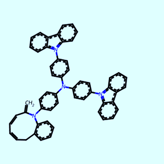 C=C1/C=C\C=C/Cc2ccccc2N1c1ccc(N(c2ccc(-n3c4ccccc4c4ccccc43)cc2)c2ccc(-n3c4ccccc4c4ccccc43)cc2)cc1